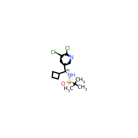 CC(C)(C)[S@@+]([O-])N[C@@H](c1cnc(Cl)c(Cl)c1)C1CCC1